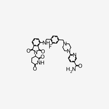 NC(=O)c1ccc(N2CCN(Cc3ccc(CNc4cccc5c4C(=O)N(C4CCC(=O)NC4=O)C5=O)c(F)c3)CC2)nc1